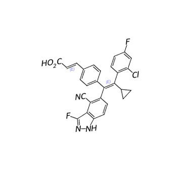 N#Cc1c(/C(=C(/c2ccc(F)cc2Cl)C2CC2)c2ccc(/C=C/C(=O)O)cc2)ccc2[nH]nc(F)c12